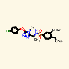 CCn1c(Oc2ccc(F)cc2)nnc1[C@@H](C)NS(=O)(=O)c1ccc(COC)c(NC(C)=O)c1